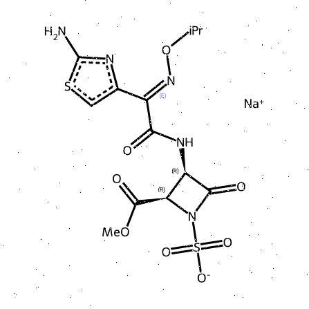 COC(=O)[C@H]1[C@@H](NC(=O)/C(=N/OC(C)C)c2csc(N)n2)C(=O)N1S(=O)(=O)[O-].[Na+]